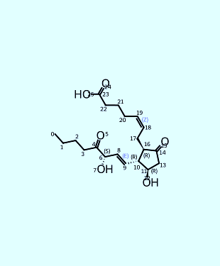 CCCCC(=O)[C@@H](O)/C=C/[C@H]1[C@H](O)CC(=O)[C@@H]1C/C=C\CCCC(=O)O